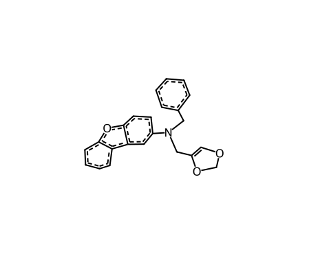 C1=C(CN(Cc2ccccc2)c2ccc3oc4ccccc4c3c2)OCO1